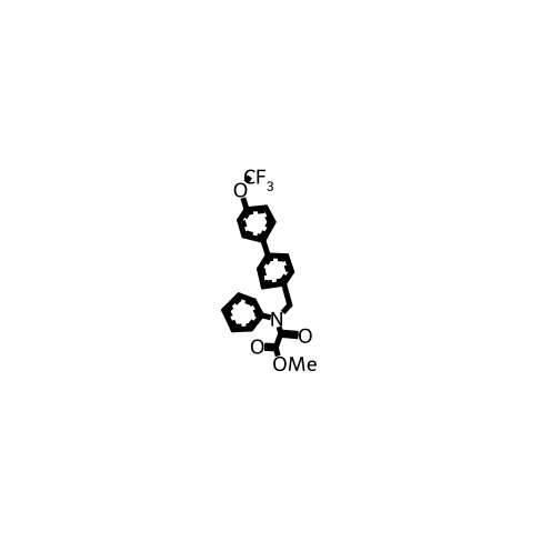 COC(=O)C(=O)N(Cc1ccc(-c2ccc(OC(F)(F)F)cc2)cc1)c1ccccc1